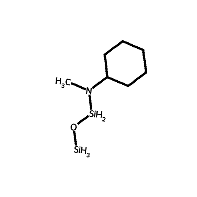 CN([SiH2]O[SiH3])C1CCCCC1